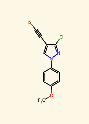 FC(F)(F)Oc1ccc(-n2cc(C#CS)c(Cl)n2)cc1